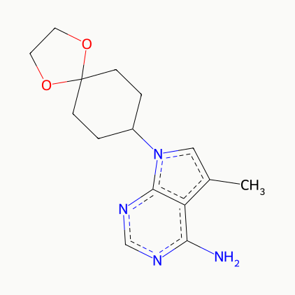 Cc1cn(C2CCC3(CC2)OCCO3)c2ncnc(N)c12